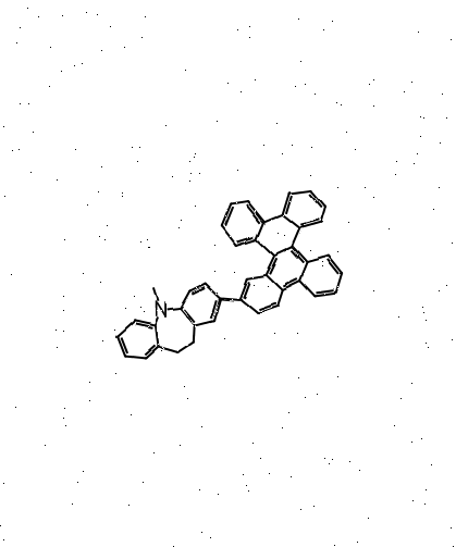 CN1c2ccccc2CCc2cc(-c3ccc4c5ccccc5c5c6ccccc6c6ccccc6c5c4c3)ccc21